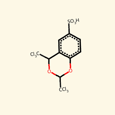 O=S(=O)(O)c1ccc2c(c1)C(C(Cl)(Cl)Cl)OC(C(Cl)(Cl)Cl)O2